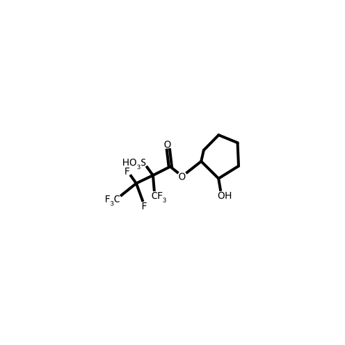 O=C(OC1CCCCC1O)C(C(F)(F)F)(C(F)(F)C(F)(F)F)S(=O)(=O)O